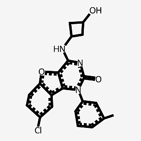 Cc1cccc(-n2c(=O)nc(NC3CC(O)C3)c3oc4ccc(Cl)cc4c32)c1